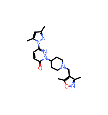 Cc1cc(C)n(-c2ccc(=O)n(C3CCN(Cc4c(C)noc4C)CC3)n2)n1